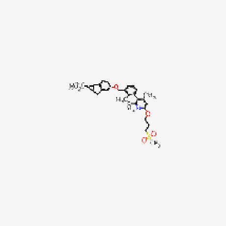 Cc1cc(OCCCS(C)(=O)=O)nc(C)c1-c1cccc(COc2ccc3c(c2)CC2C(C(=O)O)C32)c1C